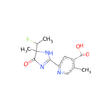 Cc1cnc(C2=NC(=O)C(C)(C(C)F)N2)cc1C(=O)O